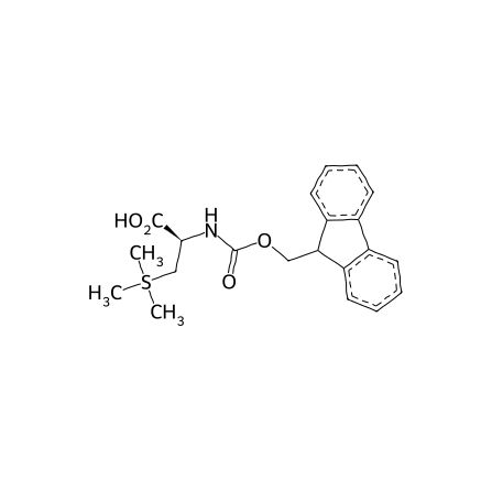 CS(C)(C)C[C@H](NC(=O)OCC1c2ccccc2-c2ccccc21)C(=O)O